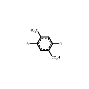 O=C(O)c1cc(Br)c(C(=O)O)cc1Cl